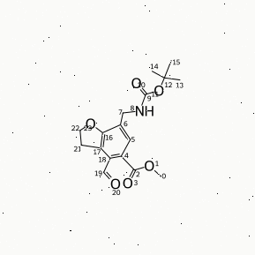 COC(=O)c1cc(CNC(=O)OC(C)(C)C)c2c(c1C=O)CCO2